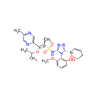 COc1cccc(O)c1-n1c(NS(=O)(=O)[C@H](C)[C@H](OC(C)C)c2cnc(C)cn2)nnc1[C@@H]1C=CCCO1